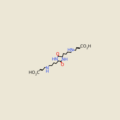 O=C(O)C=CCNCCCCC1NC(=O)C(CCCCNCC=CC(=O)O)NC1=O